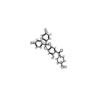 O=C(c1cc2c(cc1F)OC(c1ccc(F)cc1)(c1ccc(F)cc1)O2)N1CCC(O)CC1